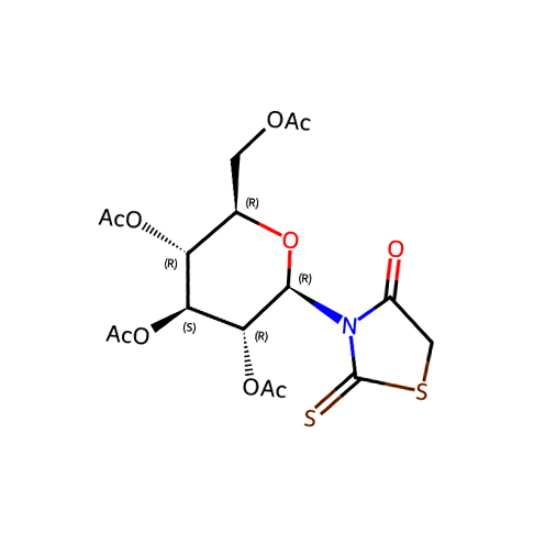 CC(=O)OC[C@H]1O[C@@H](N2C(=O)CSC2=S)[C@H](OC(C)=O)[C@@H](OC(C)=O)[C@@H]1OC(C)=O